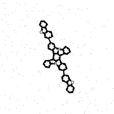 c1ccc2c(c1)oc1cc(-c3ccc4c5c6c7ccccc7n7c8cc(-c9ccc%10c(c9)oc9ccccc9%10)ccc8c(c8c9ccccc9n(c4c3)c85)c67)ccc12